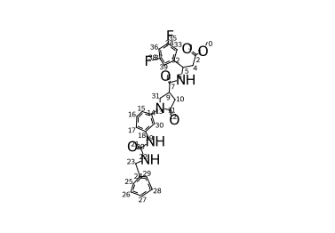 COC(=O)CC(NC(=O)C1CC(=O)N(c2cccc(NC(=O)NCc3ccccc3)c2)C1)c1cc(F)cc(F)c1